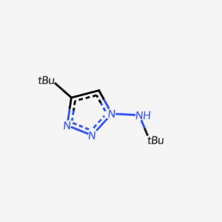 CC(C)(C)Nn1cc(C(C)(C)C)nn1